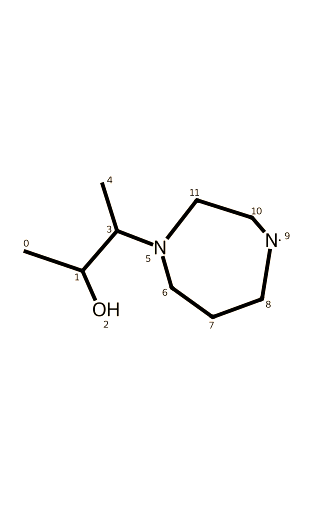 CC(O)C(C)N1CCC[N]CC1